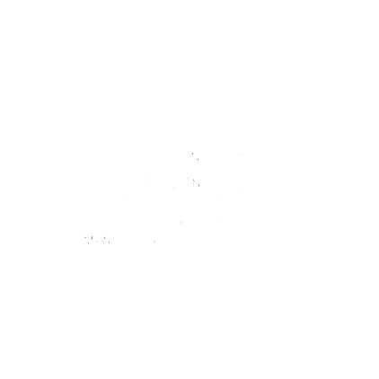 CNc1ccc(N(N)C(=O)c2ccccc2)cc1